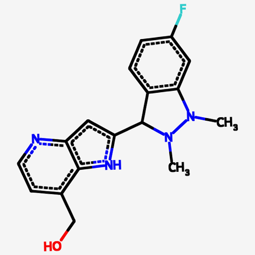 CN1c2cc(F)ccc2C(c2cc3nccc(CO)c3[nH]2)N1C